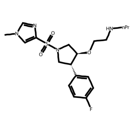 CCCNCCO[C@@H]1CN(S(=O)(=O)c2cn(C)cn2)C[C@H]1c1ccc(F)cc1